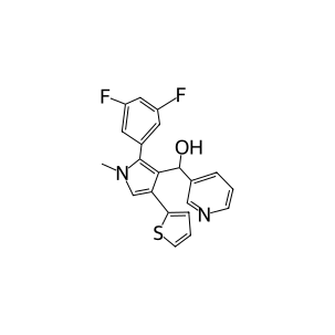 Cn1cc(-c2cccs2)c(C(O)c2cccnc2)c1-c1cc(F)cc(F)c1